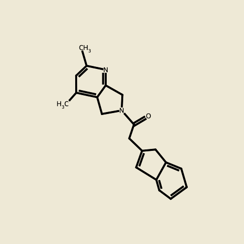 Cc1cc(C)c2c(n1)CN(C(=O)CC1=Cc3ccccc3C1)C2